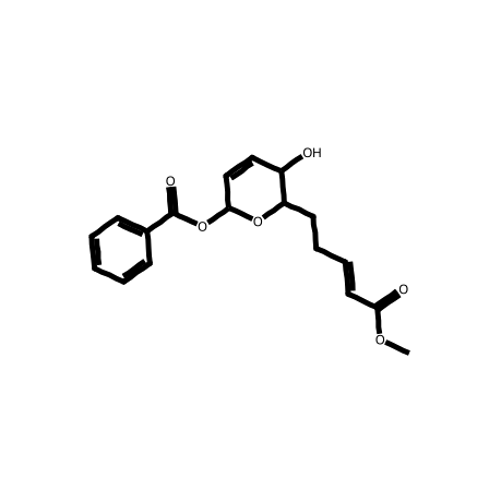 COC(=O)/C=C/CCC1OC(OC(=O)c2ccccc2)C=CC1O